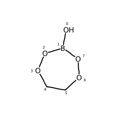 OB1OOCCOO1